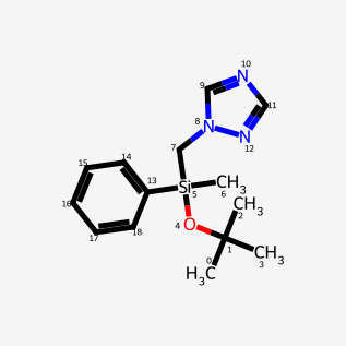 CC(C)(C)O[Si](C)(Cn1cncn1)c1ccccc1